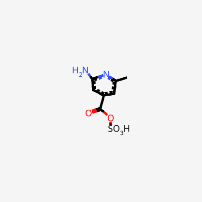 Cc1cc(C(=O)OS(=O)(=O)O)cc(N)n1